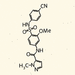 COc1cc(NC(=O)c2ccnn2C)ccc1S(=O)(=O)Nc1ccc(C#N)cc1